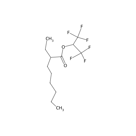 CCCCCCC(CC)C(=O)OC(C(F)(F)F)C(F)(F)F